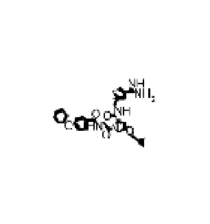 N=C(N)c1csc(CNC(=O)[C@@H]2C[C@@H](OCC3CC3)CN2C(=O)CNC(=O)c2ccc(Oc3ccccc3)cc2)c1